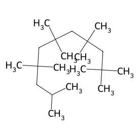 CC(C)CC(C)(C)CC(C)(C)CC(C)(C)CC(C)(C)C